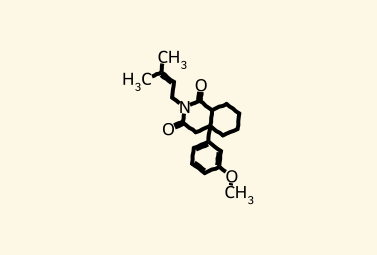 COc1cccc(C23CCCCC2C(=O)N(CC=C(C)C)C(=O)C3)c1